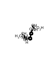 Cc1nc(S(=O)(=O)Nc2cccc(-c3ccc(C(=O)NC(CO)C(=O)O)cc3)c2)cn1C